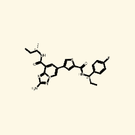 CC[C@H](C)NC(=O)c1cc(-c2csc(C(=O)N[C@H](CC)c3ccc(F)cc3)c2)cn2nc(N)nc12